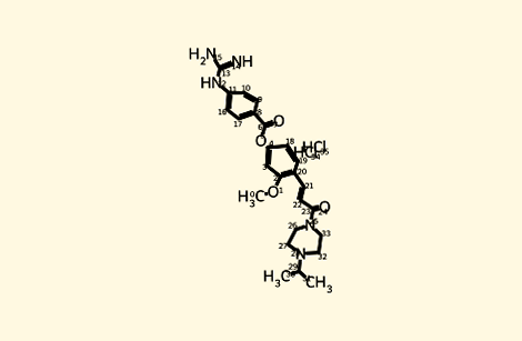 COc1cc(OC(=O)c2ccc(NC(=N)N)cc2)ccc1C=CC(=O)N1CCN(C(C)C)CC1.Cl.Cl